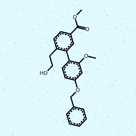 COC(=O)c1ccc(CCO)c(-c2ccc(OCc3ccccc3)cc2OC)c1